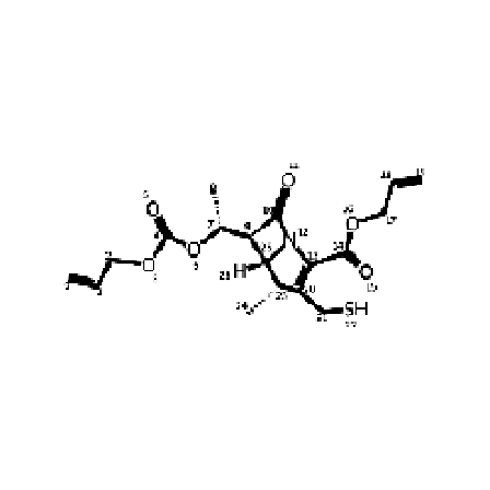 C=CCOC(=O)O[C@H](C)[C@H]1C(=O)N2C(C(=O)OCC=C)=C(CS)[C@H](C)[C@H]12